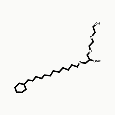 COC(COCCCCCCCCCCCCC1CCCCC1)COCCOCCO